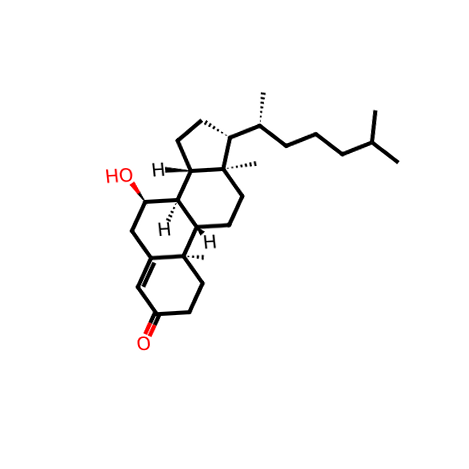 CC(C)CCC[C@@H](C)[C@H]1CC[C@H]2[C@@H]3[C@H](O)CC4=CC(=O)CC[C@]4(C)[C@H]3CC[C@]12C